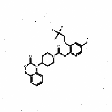 O=C(Cc1ccc(F)cc1OCC(F)(F)F)N1CCC(N2C(=O)OCc3ccccc32)CC1